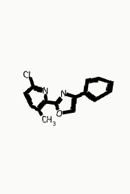 Cc1ccc(Cl)nc1-c1nc(-c2ccccc2)co1